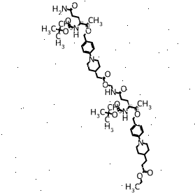 CCOC(=O)CCC1CCN(c2ccc(CO[C@H](C)[C@H](CCC(=O)NCOC(=O)CC3CCN(c4ccc(CO[C@H](C)[C@H](CCC(N)=O)NC(=O)OC(C)(C)C)cc4)CC3)NC(=O)OC(C)(C)C)cc2)CC1